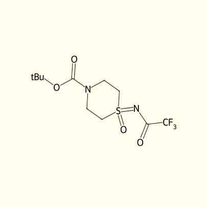 CC(C)(C)OC(=O)N1CCS(=O)(=NC(=O)C(F)(F)F)CC1